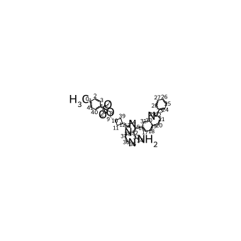 Cc1ccc(S(=O)(=O)OC[C@H]2C[C@H](c3nc(C4=CC=C5C=CC(c6ccccc6)=NC5C4)c4c(N)nccn43)C2)cc1